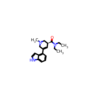 CCN(CC)C(=O)[C@H]1C=C(c2cccc3[nH]ccc23)CN(C)C1